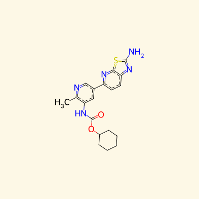 Cc1ncc(-c2ccc3nc(N)sc3n2)cc1NC(=O)OC1CCCCC1